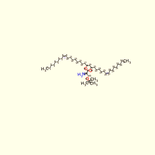 CCCCCCCC/C=C\CCCCCCCCC(CCCCCCC/C=C\CCCCCCCC)OC(=O)C(N)COC(C)(C)C